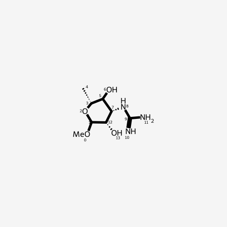 COC1O[C@H](C)C(O)[C@H](NC(=N)N)[C@@H]1O